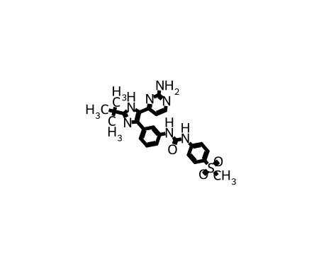 CC(C)(C)c1nc(-c2cccc(NC(=O)Nc3ccc(S(C)(=O)=O)cc3)c2)c(-c2ccnc(N)n2)[nH]1